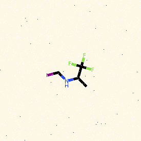 CC(NCI)C(F)(F)F